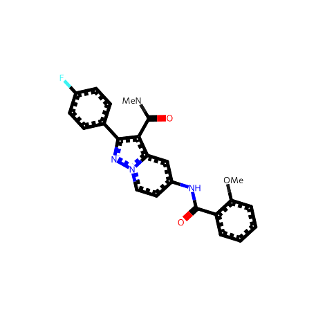 CNC(=O)c1c(-c2ccc(F)cc2)nn2ccc(NC(=O)c3ccccc3OC)cc12